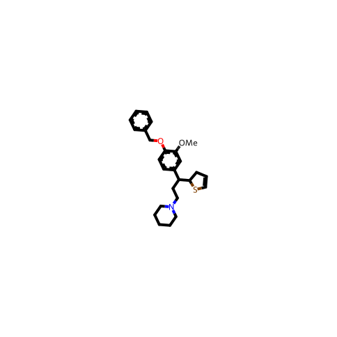 COc1cc(C(CCN2CCCCC2)C2CC=CS2)ccc1OCc1ccccc1